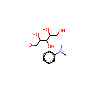 CN(C)c1ccccc1.OCC(O)C(O)C(O)CO